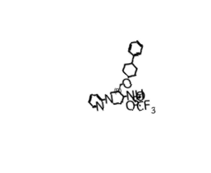 O=S(=O)(NC1CCN(c2ccccn2)C[C@H]1COC1CCC(c2ccccc2)CC1)C(F)(F)F